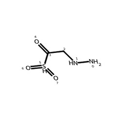 NNCC(=O)[SH](=O)=O